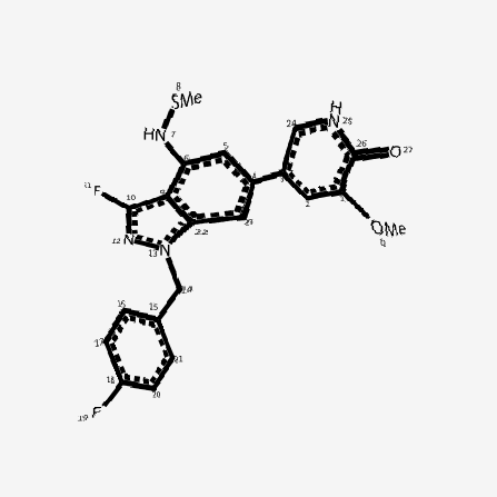 COc1cc(-c2cc(NSC)c3c(F)nn(Cc4ccc(F)cc4)c3c2)c[nH]c1=O